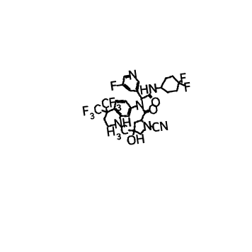 CC1(O)CC(C(=O)N(c2ccc3c(c2)NCCC3(C(F)(F)F)C(F)(F)F)C(C(=O)NC2CCC(F)(F)CC2)c2cncc(F)c2)N(C#N)C1